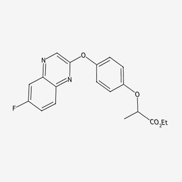 CCOC(=O)C(C)Oc1ccc(Oc2cnc3cc(F)ccc3n2)cc1